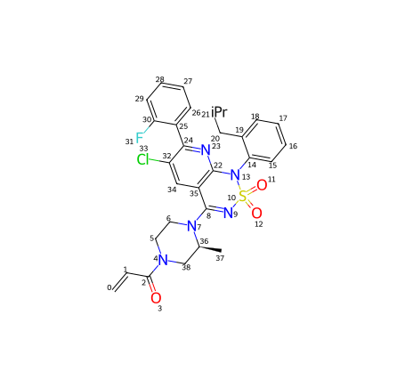 C=CC(=O)N1CCN(C2=NS(=O)(=O)N(c3ccccc3CC(C)C)c3nc(-c4ccccc4F)c(Cl)cc32)[C@@H](C)C1